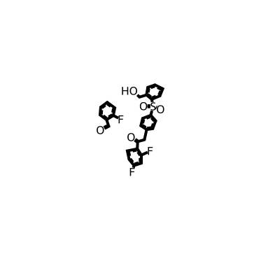 O=C(Cc1ccc(S(=O)(=O)c2ccccc2CO)cc1)c1ccc(F)cc1F.O=Cc1ccccc1F